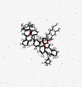 CCCCCCCCc1c(CCCCCCCC)c2cc(N(c3ccccc3)c3ccccc3-c3ccc4c(c3)C(F)(F)OC4(F)F)ccc2c2ccc(N(c3ccccc3)c3ccccc3-c3ccc4c(c3)C(F)(F)OC4(F)F)cc12